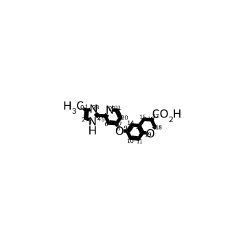 Cc1c[nH]c(-c2cc(Oc3ccc4c(c3)CC(C(=O)O)CO4)ccn2)n1